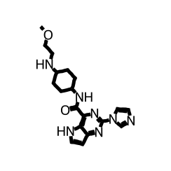 COCCNC1CCC(NC(=O)c2nc(-n3ccnc3)nc3cc[nH]c23)CC1